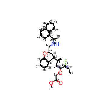 C=C(/C=C(OCC(=O)OC)\C(F)=C/C)[C@@H]1C[C@H](CN[C@H](C)c2cccc3ccccc23)Oc2ccccc21